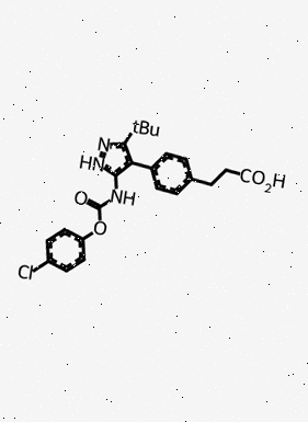 CC(C)(C)c1n[nH]c(NC(=O)Oc2ccc(Cl)cc2)c1-c1ccc(CCC(=O)O)cc1